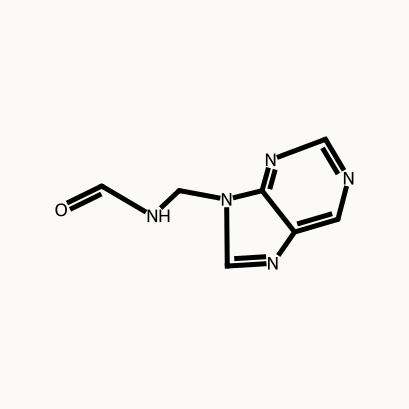 O=CNCn1cnc2cncnc21